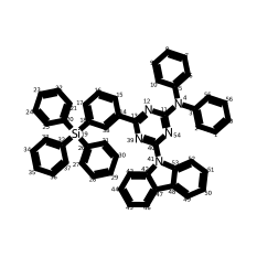 c1ccc(N(c2ccccc2)c2nc(-c3cccc([Si](c4ccccc4)(c4ccccc4)c4ccccc4)c3)nc(-n3c4ccccc4c4ccccc43)n2)cc1